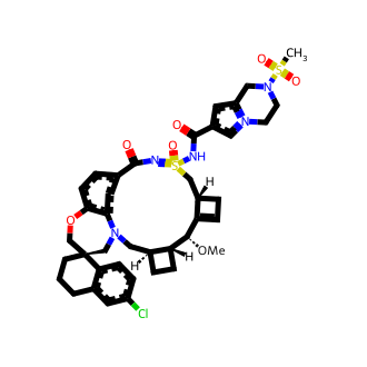 CO[C@H]1C2=CC[C@H]2CS(=O)(NC(=O)c2cc3n(c2)CCN(S(C)(=O)=O)C3)=NC(=O)c2ccc3c(c2)N(C[C@@H]2CC[C@H]21)C[C@@]1(CCCc2cc(Cl)ccc21)CO3